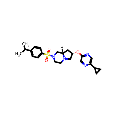 CC(C)c1ccc(S(=O)(=O)N2CCN3C[C@@H](Oc4cnc(C5CC5)cn4)C[C@H]3C2)cc1